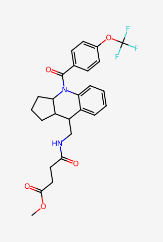 COC(=O)CCC(=O)NCC1c2ccccc2N(C(=O)c2ccc(OC(F)(F)F)cc2)C2CCCC12